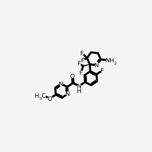 COc1cnc(C(=O)Nc2ccc(F)c([C@@]3(C(F)F)N=C(N)CCC3(F)F)c2)nc1